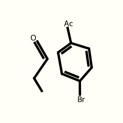 CC(=O)c1ccc(Br)cc1.CCC=O